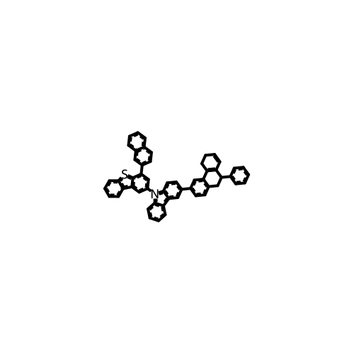 C1=CC2=C(CC1)c1cc(-c3ccc4c(c3)c3ccccc3n4-c3cc(-c4ccc5ccccc5c4)c4sc5ccccc5c4c3)ccc1CC2c1ccccc1